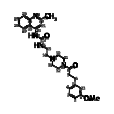 COc1cccc(CCC(=O)N2CCN(CCNC(=O)Nc3cc(C)nc4ccccc34)CC2)c1